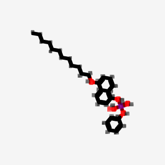 CCCCCCCCCCCCOc1cccc2c(OP(=O)(O)Oc3ccccc3)cccc12